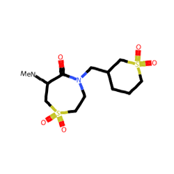 CNC1CS(=O)(=O)CCN(CC2CCCS(=O)(=O)C2)C1=O